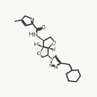 CC1=CC(C(=O)N[C@H]2CO[C@H]3[C@@H]2OC[C@@H]3n2cc(CC3CCCCC3)nn2)=NC1